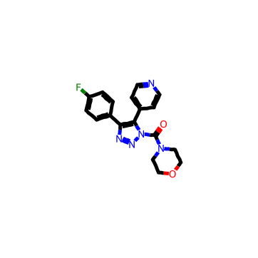 O=C(N1CCOCC1)n1nnc(-c2ccc(F)cc2)c1-c1ccncc1